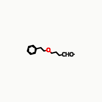 O=[C]CCCOCCc1ccccc1